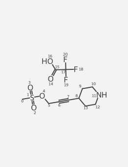 CS(=O)(=O)OCC#CC1CCNCC1.O=C(O)C(F)(F)F